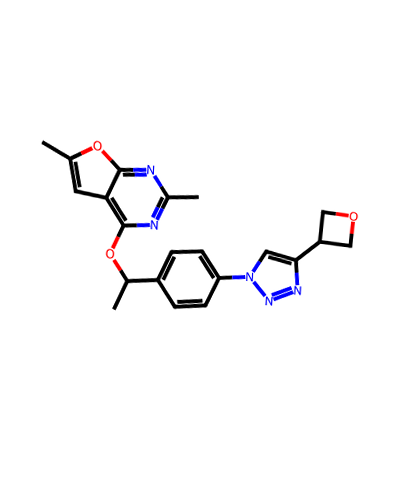 Cc1nc(OC(C)c2ccc(-n3cc(C4COC4)nn3)cc2)c2cc(C)oc2n1